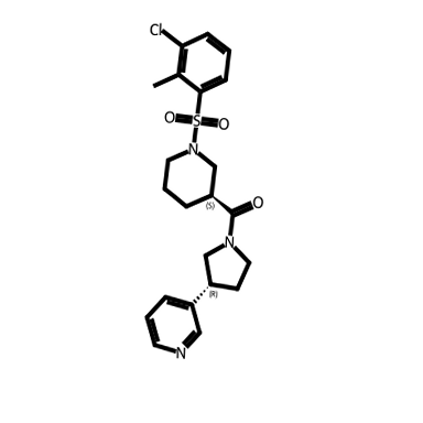 Cc1c(Cl)cccc1S(=O)(=O)N1CCC[C@H](C(=O)N2CC[C@H](c3cccnc3)C2)C1